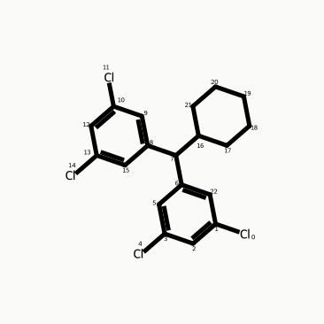 Clc1cc(Cl)cc(C(c2cc(Cl)cc(Cl)c2)C2CCCCC2)c1